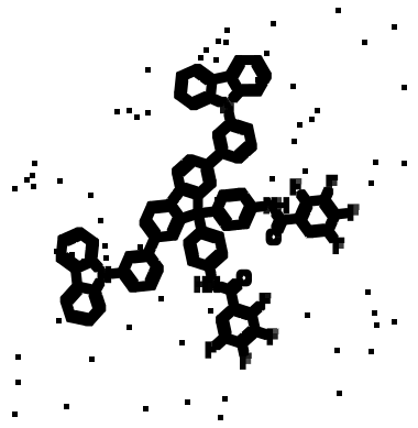 O=C(Nc1ccc(C2(c3ccc(NC(=O)c4cc(F)c(F)c(F)c4F)cc3)c3cc(-c4cccc(-n5c6ccccc6c6ccccc65)c4)ccc3-c3ccc(-c4cccc(-n5c6ccccc6c6ccccc65)c4)cc32)cc1)c1cc(F)c(F)c(F)c1F